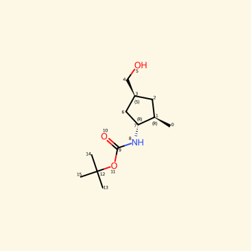 C[C@@H]1C[C@H](CO)C[C@H]1NC(=O)OC(C)(C)C